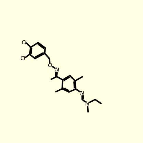 CCN(C)C=Nc1cc(C)c(/C(C)=N/OCc2ccc(Cl)c(Cl)c2)cc1C